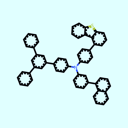 c1ccc(-c2cc(-c3ccccc3)cc(-c3ccc(N(c4ccc(-c5cccc6sc7ccccc7c56)cc4)c4cccc(-c5cccc6ccccc56)c4)cc3)c2)cc1